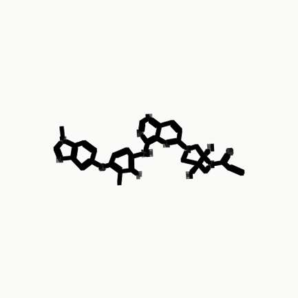 C=CC(=O)N1C[C@@H]2CN(c3ccc4ncnc(Nc5ccc(Oc6ccc7c(c6)ncn7C)c(C)c5F)c4n3)C[C@@H]21